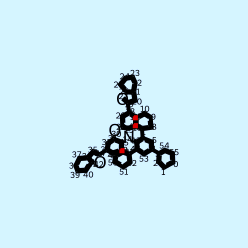 c1ccc(-c2cc(-c3ccccc3)c(N3c4ccc(-c5cc6ccccc6o5)cc4Oc4cc(-c5cc6ccccc6o5)ccc43)c(-c3ccccc3)c2)cc1